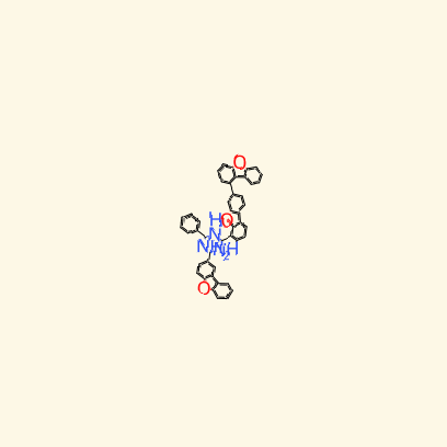 NC(NC(NCc1ccc2oc3ccccc3c2c1)c1cccc2c1oc1cc(-c3cccc4oc5ccccc5c34)ccc12)c1ccccc1